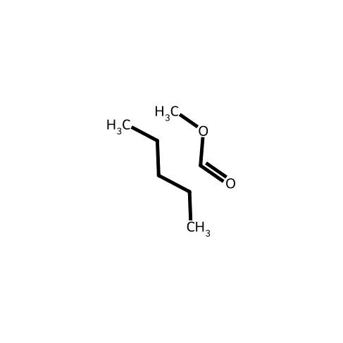 CCCCC.COC=O